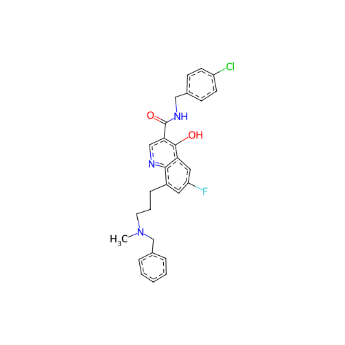 CN(CCCc1cc(F)cc2c(O)c(C(=O)NCc3ccc(Cl)cc3)cnc12)Cc1ccccc1